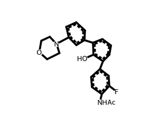 CC(=O)Nc1ccc(-c2cccc(-c3cccc(N4CCOCC4)c3)c2O)cc1F